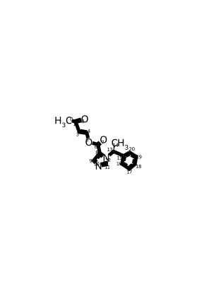 CC(=O)/C=C/OC(=O)c1cncn1[C@H](C)c1ccccc1